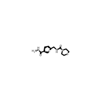 NNC(=O)c1ccc(CNC(=O)N2CCSCC2)cc1